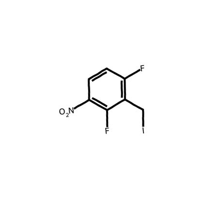 O=[N+]([O-])c1ccc(F)c(CI)c1F